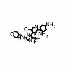 NC1CCC(N)(c2cc(-c3nc(NCC4CCOCC4)cnc3C(F)(F)F)c(Cl)cn2)CC1